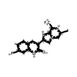 Cc1cn2cc(-c3cc4ccc(F)cc4oc3=O)nc2c(C(F)(F)F)n1